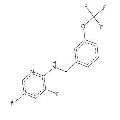 Fc1cc(Br)cnc1NCc1cccc(OC(F)(F)F)c1